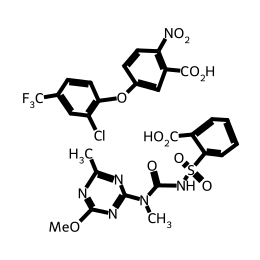 COc1nc(C)nc(N(C)C(=O)NS(=O)(=O)c2ccccc2C(=O)O)n1.O=C(O)c1cc(Oc2ccc(C(F)(F)F)cc2Cl)ccc1[N+](=O)[O-]